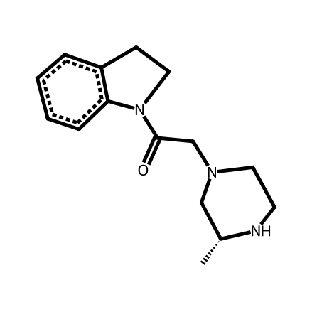 C[C@@H]1CN(CC(=O)N2CCc3ccccc32)CCN1